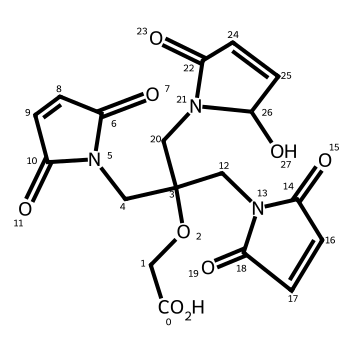 O=C(O)COC(CN1C(=O)C=CC1=O)(CN1C(=O)C=CC1=O)CN1C(=O)C=CC1O